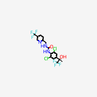 C[C@](O)(c1cc(Cl)c(NC(=O)NCc2ccc(C(F)(F)F)cn2)c(Cl)c1)C(F)(F)F